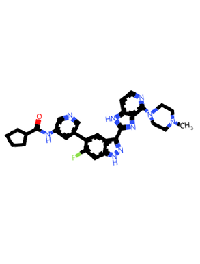 CN1CCN(c2nccc3[nH]c(-c4n[nH]c5cc(F)c(-c6cncc(NC(=O)C7CCCC7)c6)cc45)nc23)CC1